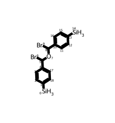 [SiH3]c1ccc(C(Br)OC(Br)c2ccc([SiH3])cc2)cc1